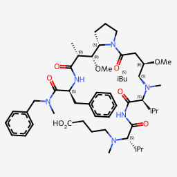 CC[C@H](C)[C@@H]([C@@H](CC(=O)N1CCC[C@H]1[C@H](OC)[C@@H](C)C(=O)N[C@@H](Cc1ccccc1)C(=O)N(C)Cc1ccccc1)OC)N(C)[C@H](C(=O)NC(=O)[C@H](C(C)C)N(C)CCCC(=O)O)C(C)C